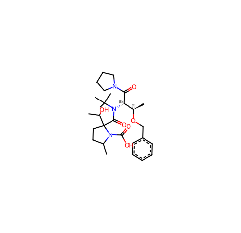 CC1CCC(C(=O)N([C@H](C(=O)N2CCCC2)[C@@H](C)OCc2ccccc2)C(C)(C)C)(C(C)O)N1C(=O)O